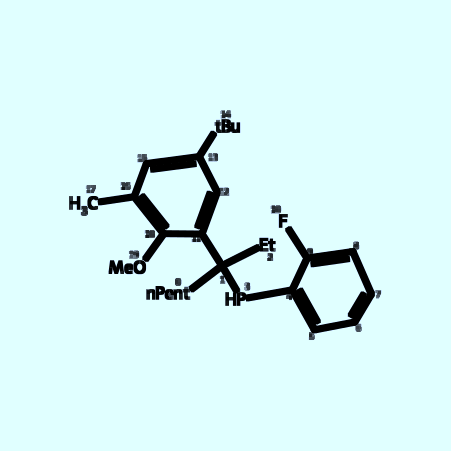 CCCCCC(CC)(Pc1ccccc1F)c1cc(C(C)(C)C)cc(C)c1OC